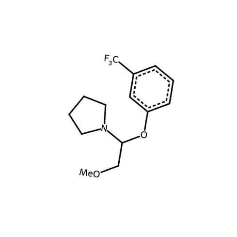 COCC(Oc1cccc(C(F)(F)F)c1)N1CCCC1